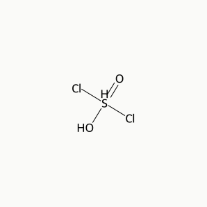 O=[SH](O)(Cl)Cl